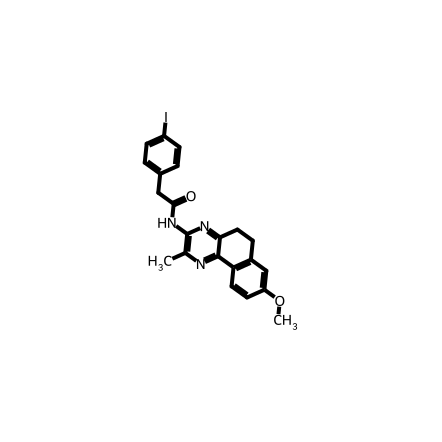 COc1ccc2c(c1)CCc1nc(NC(=O)Cc3ccc(I)cc3)c(C)nc1-2